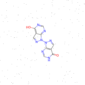 O=c1[nH]cnc2c1cnn2-n1ncc2c(O)ncnc21